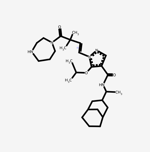 CC(C)Oc1c(C(=O)NC(C)C2CC3CCCC(C3)C2)cnn1/C=C/C(C)(C)C(=O)N1CCCNCC1